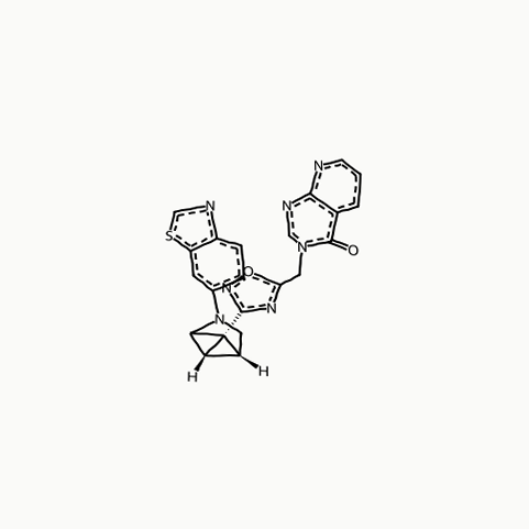 O=c1c2cccnc2ncn1Cc1nc([C@@]23C4[C@H]2[C@H]3CN4c2ccc3ncsc3c2)no1